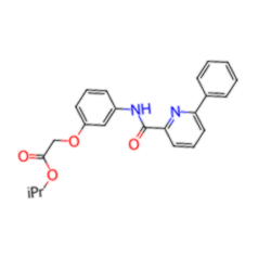 CC(C)OC(=O)COc1cccc(NC(=O)c2cccc(-c3ccccc3)n2)c1